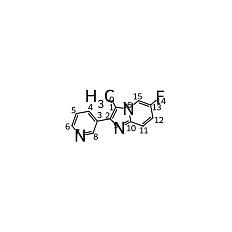 Cc1c(-c2cccnc2)nc2ccc(F)cn12